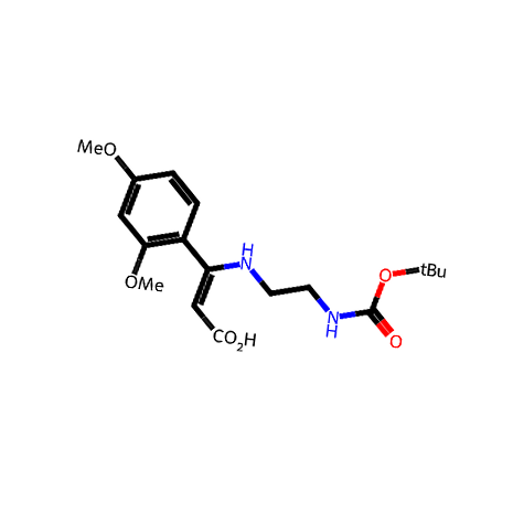 COc1ccc(C(=CC(=O)O)NCCNC(=O)OC(C)(C)C)c(OC)c1